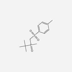 Cc1ccc(S(=O)(=O)CP(C)(=O)C(C)(C)C)cc1